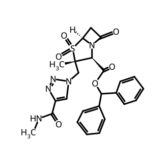 CNC(=O)c1cn(C[C@@]2(C)[C@H](C(=O)OC(c3ccccc3)c3ccccc3)N3C(=O)C[C@@H]3S2(=O)=O)nn1